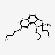 CCCN1c2c(cnc3ccc(OCCCCl)cc23)NC1(N)COC